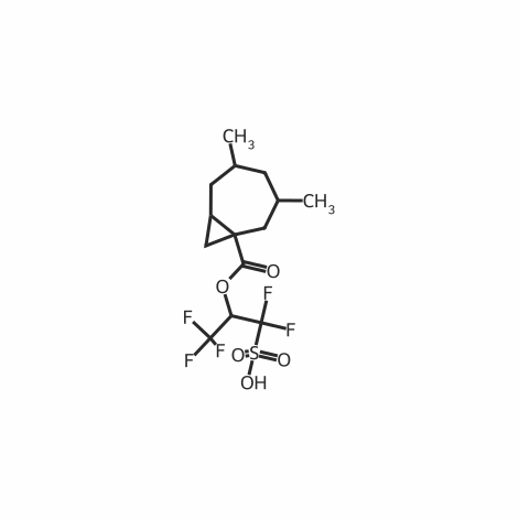 CC1CC(C)CC2(C(=O)OC(C(F)(F)F)C(F)(F)S(=O)(=O)O)CC2C1